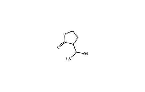 CC(O)C1CCOC1=O